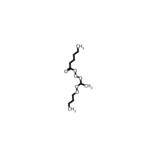 CCCCCC(=O)OOOC(C)OOCCCC